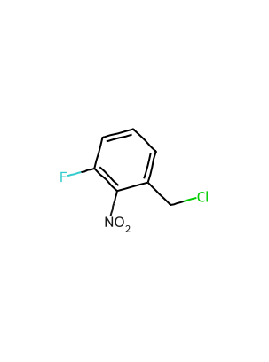 O=[N+]([O-])c1c(F)cccc1CCl